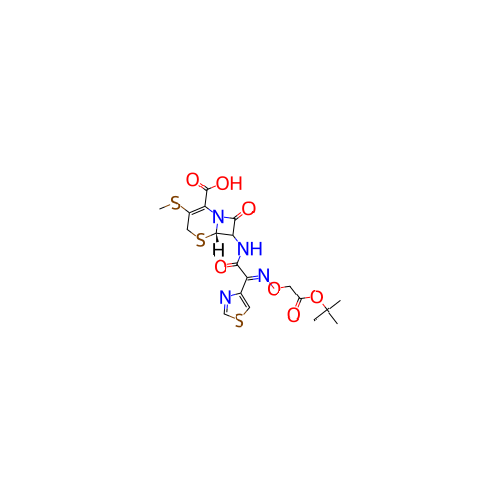 CSC1=C(C(=O)O)N2C(=O)C(NC(=O)C(=NOCC(=O)OC(C)(C)C)c3cscn3)[C@@H]2SC1